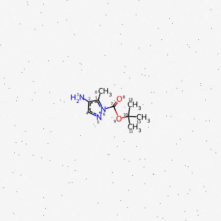 Cc1c(N)cnn1C(=O)OC(C)(C)C